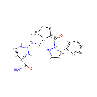 NC(=O)c1ccnc(N2CC3CCC(C(=O)N4N=CCC4c4ccccc4)C3C2)n1